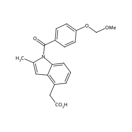 COCOc1ccc(C(=O)n2c(C)cc3c(CC(=O)O)cccc32)cc1